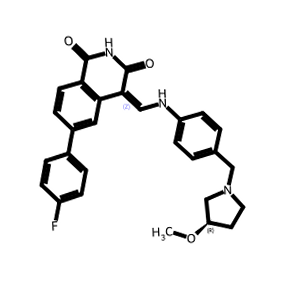 CO[C@@H]1CCN(Cc2ccc(N/C=C3\C(=O)NC(=O)c4ccc(-c5ccc(F)cc5)cc43)cc2)C1